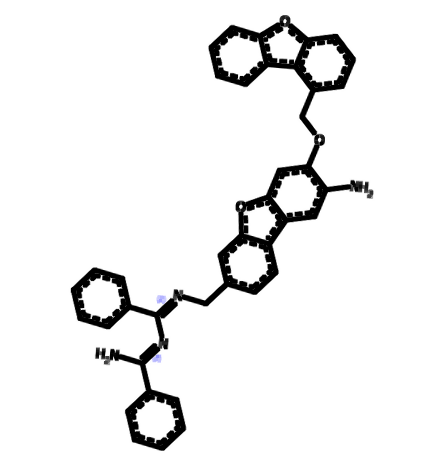 N/C(=N\C(=N/Cc1ccc2c(c1)oc1cc(OCc3cccc4oc5ccccc5c34)c(N)cc12)c1ccccc1)c1ccccc1